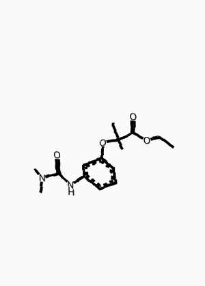 CCOC(=O)C(C)(C)Oc1cccc(NC(=O)N(C)C)c1